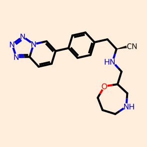 N#C[C@H](Cc1ccc(-c2ccc3nnnn3c2)cc1)NCC1CNCCCO1